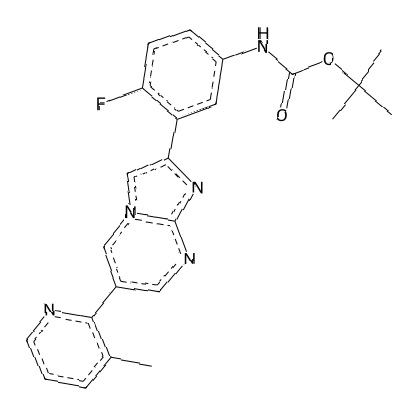 Cc1cccnc1-c1cnc2nc(-c3cc(NC(=O)OC(C)(C)C)ccc3F)cn2c1